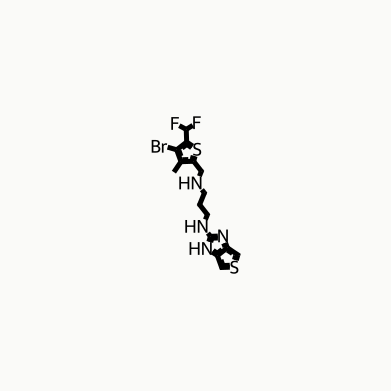 Cc1c(CNCCCNc2nc3cscc3[nH]2)sc(C(F)F)c1Br